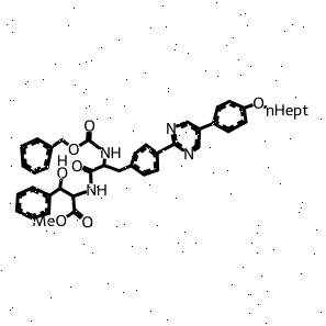 CCCCCCCOc1ccc(-c2cnc(-c3ccc(CC(NC(=O)OCc4ccccc4)C(=O)NC(C(=O)OC)C(O)c4ccccc4)cc3)nc2)cc1